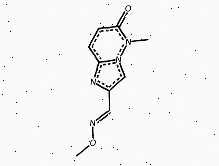 CON=Cc1cn2c(ccc(=O)n2C)n1